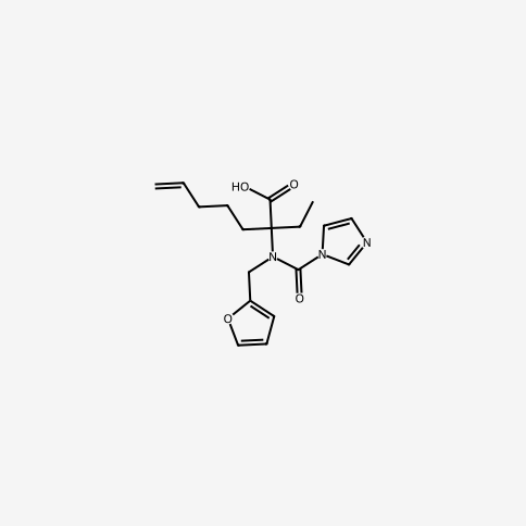 C=CCCCC(CC)(C(=O)O)N(Cc1ccco1)C(=O)n1ccnc1